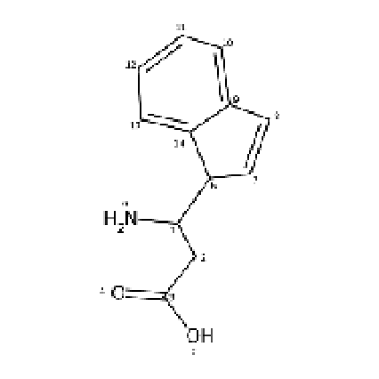 NC(CC(=O)O)C1C=Cc2ccccc21